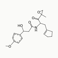 COc1ccc(C(O)CC(=O)NC(CC2=CCCC2)C(=O)C2(C)CO2)cc1